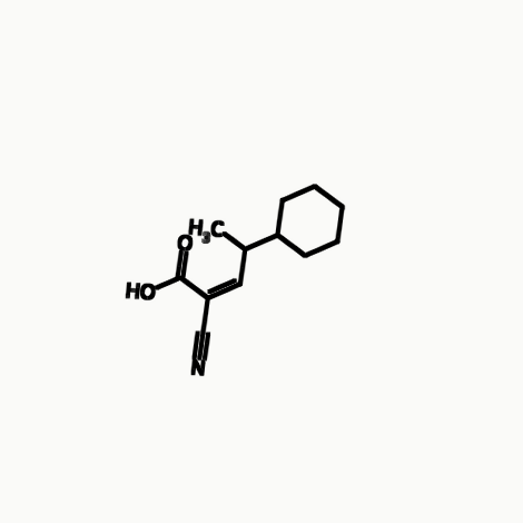 CC(C=C(C#N)C(=O)O)C1CCCCC1